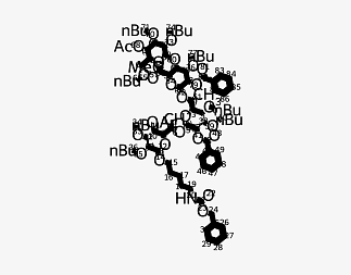 CCCCOCC(O[C@@H](O[C@@H](C)C(COC(C)=O)O[C@H](OCCCCCNC(=O)OCc1ccccc1)[C@H](COCCCC)OCCCC)[C@H](COCCCC)OC(=O)c1ccccc1)[C@H](C)O[C@@H]1OC(C(=O)OC)[C@@H](O[C@H]2OC(COCCCC)[C@H](OC(C)=O)[C@H](OCCCC)C2OCCCC)C(OCCCC)C1OC(=O)c1ccccc1